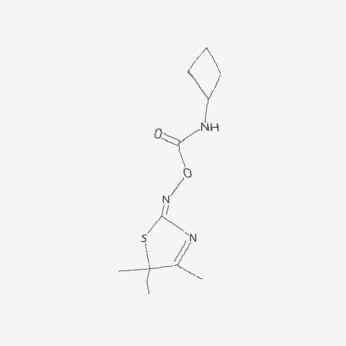 CC1=NC(=NOC(=O)NC2CCC2)SC1(C)C